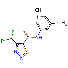 Cc1cc(C)cc(NC(=S)c2snnc2C(F)F)c1